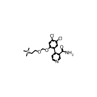 C[Si](C)(C)CCOCOc1cc(Cl)c(Cl)cc1-c1ccncc1C(N)=O